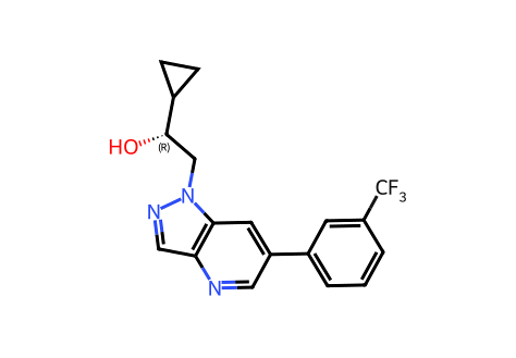 O[C@@H](Cn1ncc2ncc(-c3cccc(C(F)(F)F)c3)cc21)C1CC1